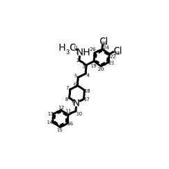 CNCC(CCC1CCN(Cc2ccccc2)CC1)c1ccc(Cl)c(Cl)c1